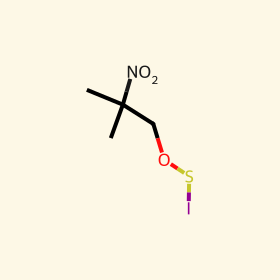 CC(C)(COSI)[N+](=O)[O-]